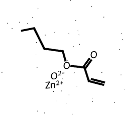 C=CC(=O)OCCCC.[O-2].[Zn+2]